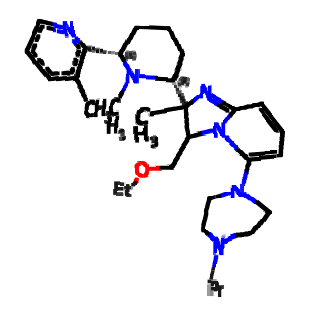 CCOCC1N2C(N3CCN(C(C)C)CC3)=CC=CC2=NC1(C)[C@H]1CCC[C@@H](c2ncccc2C)N1C